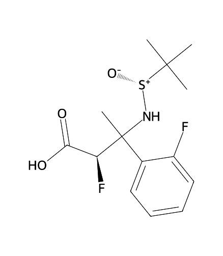 CC(N[S@+]([O-])C(C)(C)C)(c1ccccc1F)[C@@H](F)C(=O)O